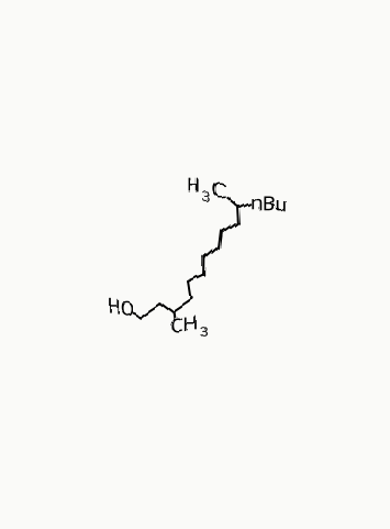 CCCCC(C)CCCCCCCC(C)CCO